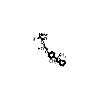 CNC(C(=O)OCC(O)COc1ccc(-c2cc3ccccc3n2C)c(C)c1)C(C)C